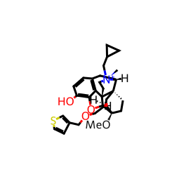 CO[C@]12CC[C@@]3(C[C@@H]1COCc1ccsc1)[C@H]1Cc4ccc(O)c5c4[C@@]3(CC[N@+]1(C)CC1CC1)[C@H]2O5